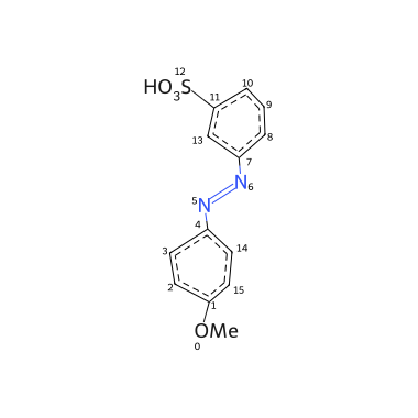 COc1ccc(N=Nc2cccc(S(=O)(=O)O)c2)cc1